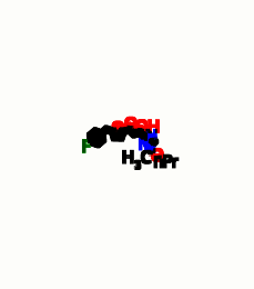 CCCOC(C)n1cnc(C(O)=CC(=O)c2ccc(Cc3ccc(F)cc3)o2)n1